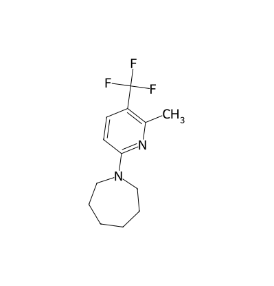 Cc1nc(N2CCCCCC2)ccc1C(F)(F)F